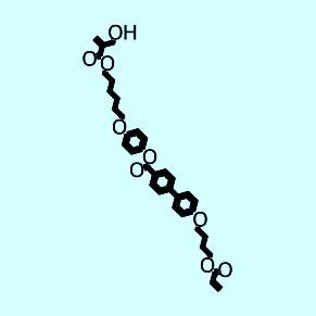 C=CC(=O)OCCCCOc1ccc(-c2ccc(C(=O)Oc3ccc(OCCCCCCOC(=O)C(=C)CO)cc3)cc2)cc1